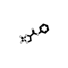 O=C(Oc1ccccc1)C1COS(=O)(=O)O1